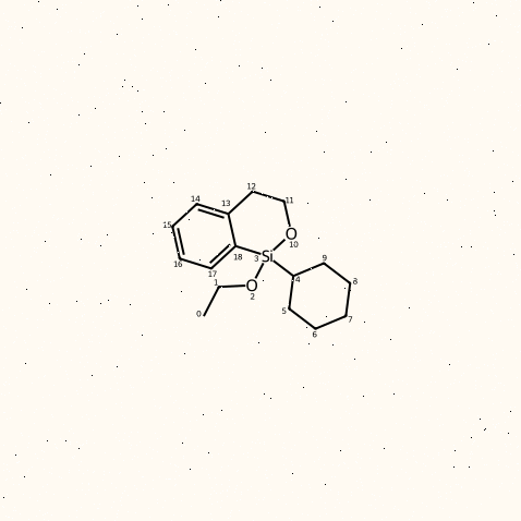 CCO[Si]1(C2CCCCC2)OCCc2ccccc21